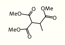 COC(=O)C(C)C(C(=O)OC)C(=O)OC